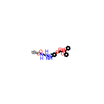 CC(C)(C)OC(=O)NCCNC(=N)N1Cc2ccc(OC[C@@H](O)C(=O)OC(c3ccccc3)c3ccccc3)cc2C1